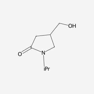 CC(C)N1CC(CO)CC1=O